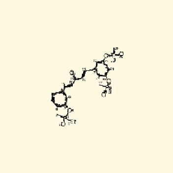 CCP(C)(=O)Oc1cccc(/C=C/C(=O)/C=C/c2cc(OP(C)(C)=O)cc(OP(C)(C)=O)c2)c1